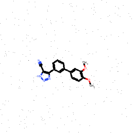 COc1ccc(-c2cccc(-c3nn[nH]c3C#N)c2)cc1OC